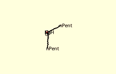 CCCCCC=CCC=CCC=CCC=CCCCC(=O)OC(=O)CCCC=CCC=CCC=CCC=CCCCCC.[NaH]